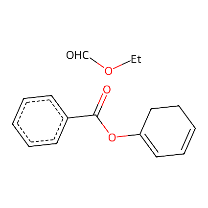 CCOC=O.O=C(OC1=CC=CCC1)c1ccccc1